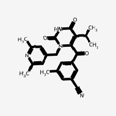 Cc1cc(C#N)cc(C(=O)c2c(C(C)C)c(=O)[nH]c(=O)n2Cc2cc(C)nc(C)c2)c1